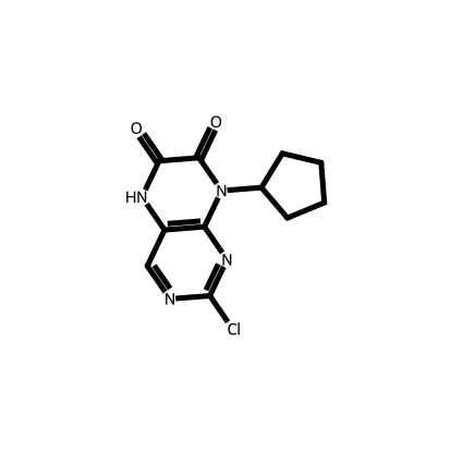 O=c1[nH]c2cnc(Cl)nc2n(C2CCCC2)c1=O